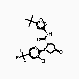 CC(C)(C)c1cc(NC(=O)[C@@H]2CC(=O)CN2c2ncc(C(F)(F)F)cc2Cl)no1